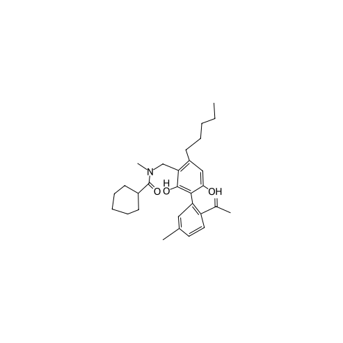 C=C(C)c1ccc(C)cc1-c1c(O)cc(CCCCC)c(CN(C)C(=O)C2CCCCC2)c1O